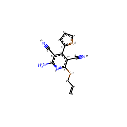 C=CCSc1nc(N)c(C#N)c(-c2cccs2)c1C#N